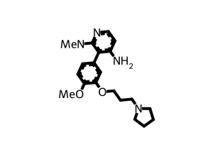 CNc1nccc(N)c1-c1ccc(OC)c(OCCCN2CCCC2)c1